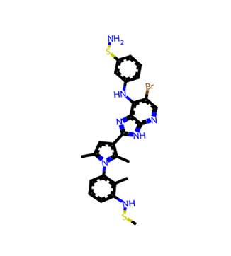 CSNc1cccc(-n2c(C)cc(-c3nc4c(Nc5cccc(SN)c5)c(Br)cnc4[nH]3)c2C)c1C